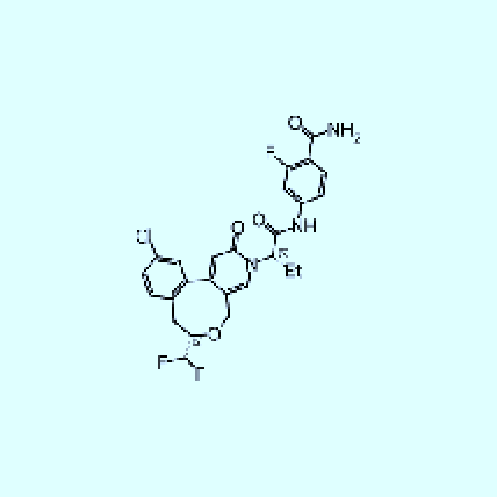 CC[C@@H](C(=O)Nc1ccc(C(N)=O)c(F)c1)n1cc2c(cc1=O)-c1cc(Cl)ccc1C[C@@H](C(F)F)OC2